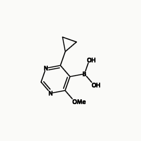 COc1ncnc(C2CC2)c1B(O)O